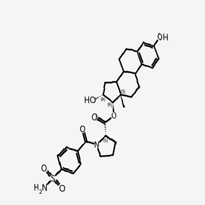 C[C@]12CCC3c4ccc(O)cc4CCC3C1C[C@@H](O)[C@@H]2OC(=O)[C@@H]1CCCN1C(=O)c1ccc(S(N)(=O)=O)cc1